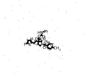 Cc1ccc(C(C)(C)N2CCC(CCc3ccc(F)s3)(C(C)(C)OC(=O)NC(C)C)C2)cn1